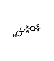 CS(=O)(=O)c1ccc(S(=O)(=O)CCC2(F)CCNCC2)cc1